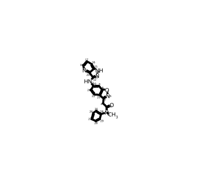 CN(C(=O)Cc1noc2cc(Nc3n[nH]c4cccnc34)ccc12)c1ccccc1